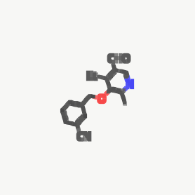 CCc1c(C=O)cnc(C)c1OCc1cccc(C#N)c1